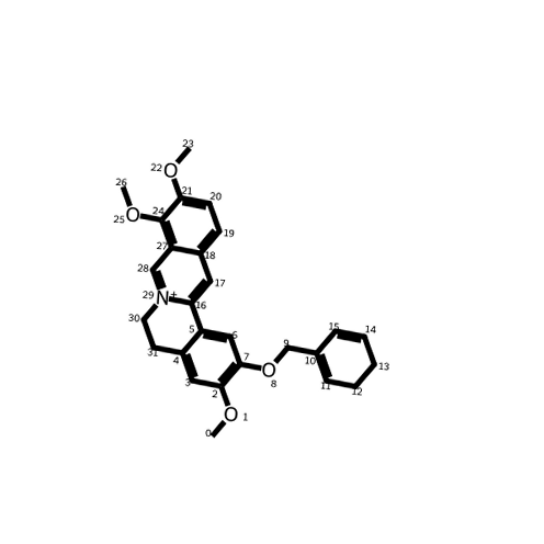 COc1cc2c(cc1OCC1=CCCC=C1)-c1cc3ccc(OC)c(OC)c3c[n+]1CC2